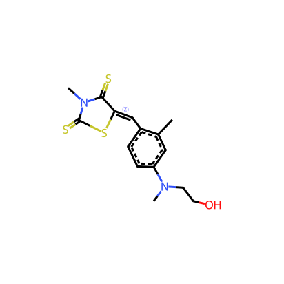 Cc1cc(N(C)CCO)ccc1/C=C1\SC(=S)N(C)C1=S